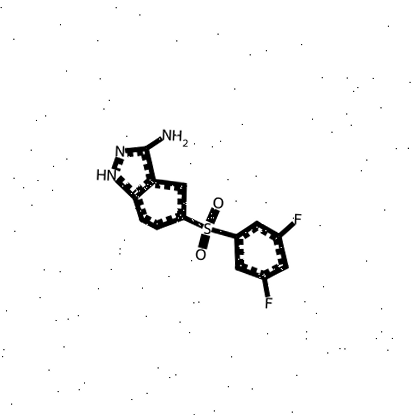 Nc1n[nH]c2ccc(S(=O)(=O)c3cc(F)cc(F)c3)cc12